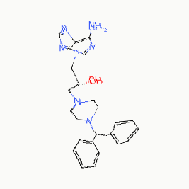 Nc1ncn(C[C@H](O)CN2CCN(C(c3ccccc3)c3ccccc3)CC2)c2ncnc1-2